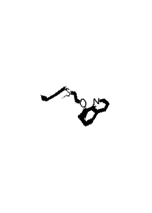 C#CCSCCOc1cccc2cccnc12